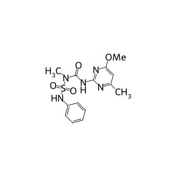 COc1cc(C)nc(NC(=O)N(C)S(=O)(=O)Nc2ccccc2)n1